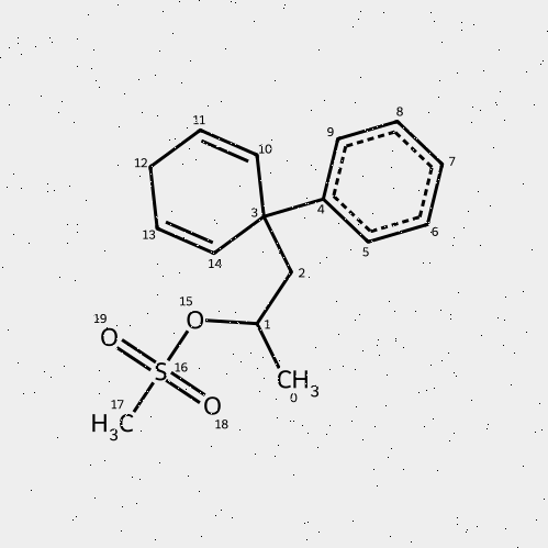 CC(CC1(c2ccccc2)C=CCC=C1)OS(C)(=O)=O